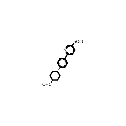 CCCCCCCCc1ccc(-c2ccc([C@H]3CC[C@H](C=O)CC3)cc2)nc1